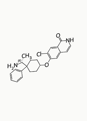 C[C@@H](N)C1(c2ccccc2)CCC(Oc2cc3cc[nH]c(=O)c3cc2Cl)CC1